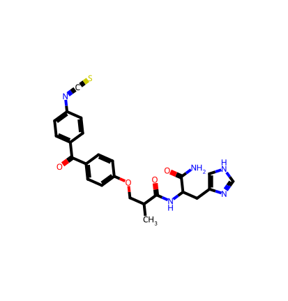 CC(COc1ccc(C(=O)c2ccc(N=C=S)cc2)cc1)C(=O)NC(Cc1c[nH]cn1)C(N)=O